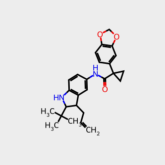 C=CCC1c2cc(NC(=O)C3(c4ccc5c(c4)OCO5)CC3)ccc2NC1C(C)(C)C